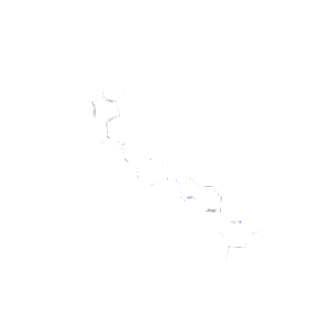 Cc1cc(C)nc(-c2ccc3cn([C@H]4CC[C@H](CNC(=O)c5cc(F)c(O)c(F)c5)CC4)nc3c2)n1